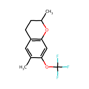 Cc1cc2c(cc1OC(F)(F)F)OC(C)CC2